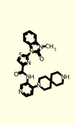 Cn1c(=O)n(-c2nc(C(=O)Nc3cnccc3N3CCC4(CCNCC4)CC3)cs2)c2ccccc21